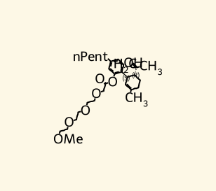 C=C(C)[C@@H]1CCC(C)=C[C@H]1c1c(O)cc(CCCCC)cc1OC(=O)COCCOCCOCCOC